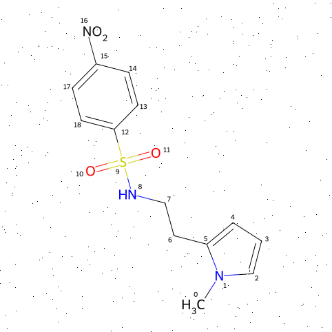 Cn1cccc1CCNS(=O)(=O)c1ccc([N+](=O)[O-])cc1